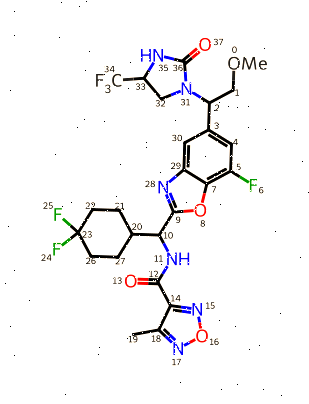 COCC(c1cc(F)c2oc(C(NC(=O)c3nonc3C)C3CCC(F)(F)CC3)nc2c1)N1CC(C(F)(F)F)NC1=O